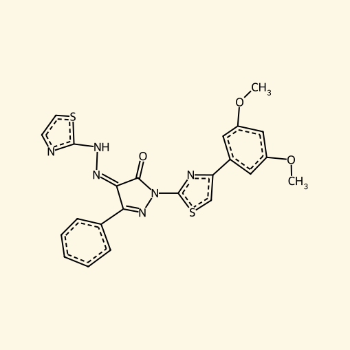 COc1cc(OC)cc(-c2csc(N3N=C(c4ccccc4)/C(=N/Nc4nccs4)C3=O)n2)c1